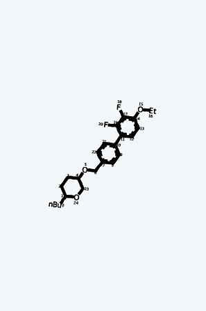 CCCCC1CCC(OCc2ccc(-c3ccc(OCC)c(F)c3F)cc2)CO1